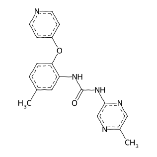 Cc1ccc(Oc2ccncc2)c(NC(=O)Nc2cnc(C)cn2)c1